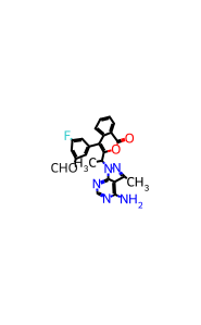 Cc1nn(C(C)c2oc(=O)c3ccccc3c2-c2cc(F)cc(C=O)c2)c2ncnc(N)c12